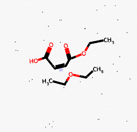 CCOC(=O)/C=C\C(=O)O.CCOCC